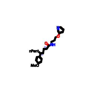 CCCCC/C(=C\C=C\C(=O)NCCCOc1cccnc1)c1ccc(OC)cc1